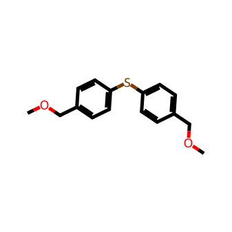 COCc1ccc(Sc2ccc(COC)cc2)cc1